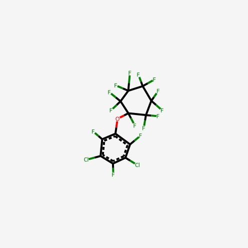 Fc1c(Cl)c(F)c(OC2(F)C(F)(F)C(F)(F)C(F)(F)C(F)(F)C2(F)F)c(F)c1Cl